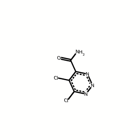 NC(=O)c1nnnc(Cl)c1Cl